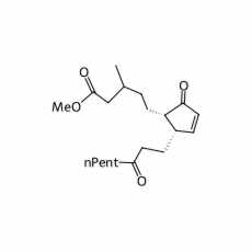 CCCCCC(=O)CC[C@H]1C=CC(=O)[C@H]1CCC(C)CC(=O)OC